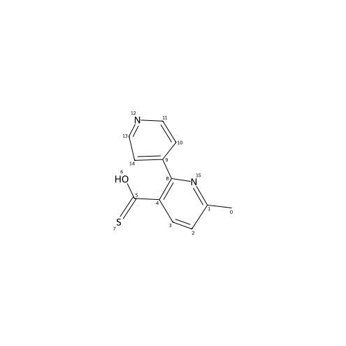 Cc1ccc(C(O)=S)c(-c2ccncc2)n1